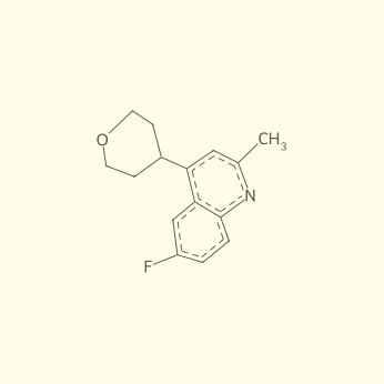 Cc1cc(C2CCOCC2)c2cc(F)ccc2n1